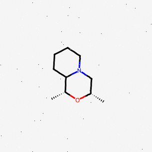 C[C@H]1CN2CCCCC2[C@@H](C)O1